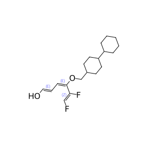 O/C=C/C=C(OCC1CCC(C2CCCCC2)CC1)\C(F)=C\F